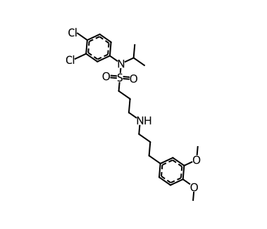 COc1ccc(CCCNCCCS(=O)(=O)N(c2ccc(Cl)c(Cl)c2)C(C)C)cc1OC